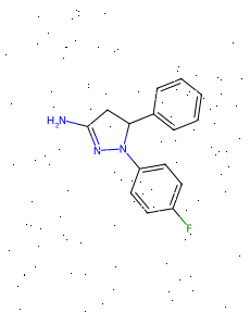 NC1=NN(c2ccc(F)cc2)C(c2ccccc2)C1